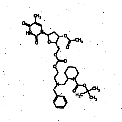 CC(=O)O[C@H]1C[C@H](n2cc(C)c(=O)[nH]c2=O)O[C@@H]1COC(=O)OCCN(Cc1ccccc1)CC1CCCCN1C(=O)OC(C)(C)C